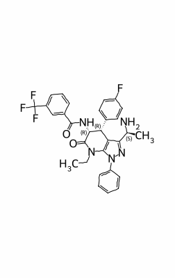 CCN1C(=O)[C@H](NC(=O)c2cccc(C(F)(F)F)c2)[C@H](c2ccc(F)cc2)c2c([C@H](C)N)nn(-c3ccccc3)c21